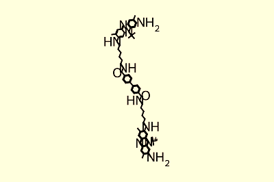 CC1=CC2=Nc3cc(C)c(N)cc3N(C(C)(C)C)C2C=C1NCCCCCCNC(=O)c1ccc(-c2ccc(C(=O)NCCCCCCNc3cc4c(cc3C)nc3cc(C)c(N)cc3[n+]4C(C)(C)C)cc2)cc1